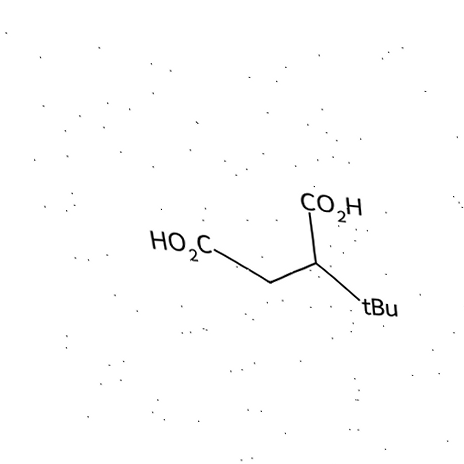 CC(C)(C)C(CC(=O)O)C(=O)O